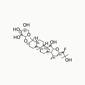 C[C@@H]1C[C@H]([C@@H](F)C(C)(C)O)OC2C1[C@@]1(C)CC[C@@]34C[C@@]35CC[C@H](OC3OC[C@@H](O)[C@H](O)[C@H]3O)C(C)(C)[C@@H]5CC[C@H]4[C@]1(C)[C@H]2O